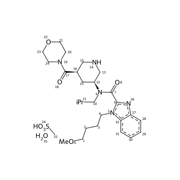 COCCCCn1c(C(=O)N(CC(C)C)[C@@H]2CNC[C@H](C(=O)N3CCOCC3)C2)nc2ccccc21.CS(=O)(=O)O.O